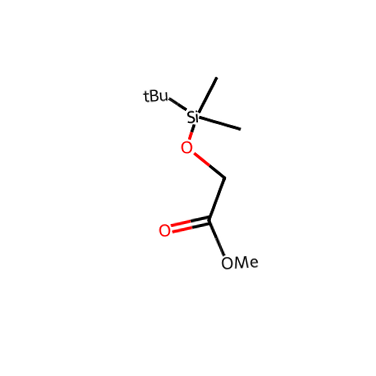 COC(=O)CO[Si](C)(C)C(C)(C)C